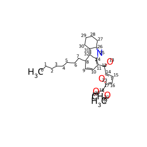 CCCCCCCCC1C=CC(C(=O)c2ccc(C(OC)OC)o2)=C2N=C3CCCCC3=C21